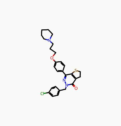 O=c1c2c(c(-c3ccc(OCCCN4CCCCC4)cc3)nn1Cc1ccc(Cl)cc1)SCC2